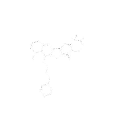 CC[C@@]1(OC(C)=O)C(=O)OCc2c1cc1n(c2=O)Cc2c-1nc1cccc([N+](=O)[O-])c1c2NCCCc1ccccc1